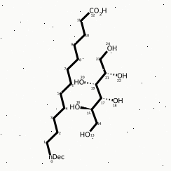 CCCCCCCCCCCCCCCCCCCCCC(=O)O.OC[C@@H](O)[C@@H](O)[C@H](O)[C@@H](O)CO